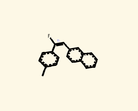 Cc1ccc(/C(F)=C\c2ccc3ccccc3c2)cc1